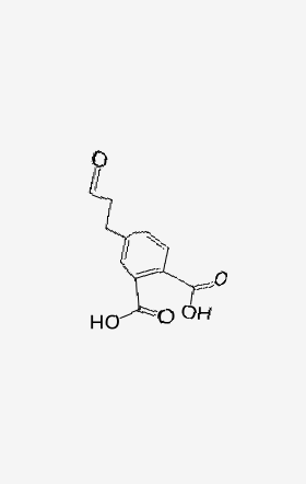 O=CCCc1ccc(C(=O)O)c(C(=O)O)c1